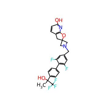 CC(O)(c1ccc(-c2c(F)cc(CN3CC4(Cc5ccc(O)nc5O4)C3)cc2F)cc1)C(F)(F)F